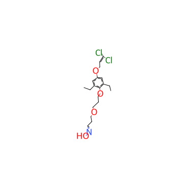 CCc1cc(OCC=C(Cl)Cl)cc(CC)c1OCCCOCC/C=N/O